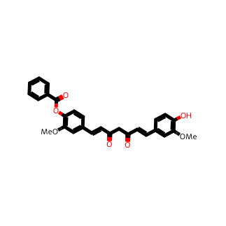 COc1cc(/C=C/C(=O)CC(=O)/C=C/c2ccc(OC(=O)c3ccccc3)c(OC)c2)ccc1O